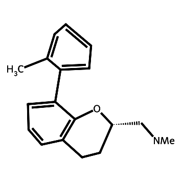 CNC[C@@H]1CCc2cccc(-c3ccccc3C)c2O1